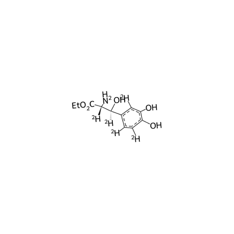 [2H]c1c([2H])c([C@]([2H])(O)[C@@]([2H])(N)C(=O)OCC)c([2H])c(O)c1O